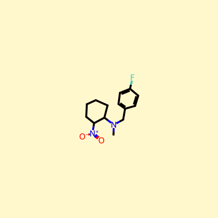 CN(Cc1ccc(F)cc1)C1CCCCC1[N+](=O)[O-]